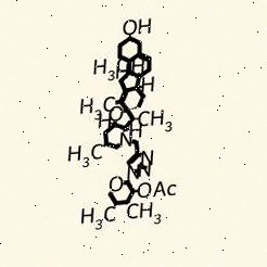 CC(=O)O[C@H]1C(C)[C@H](C)CO[C@H]1n1cc(CN2C[C@@H](C)C[C@H]3O[C@]4(CC[C@@H]5C(=C4C)C[C@H]4[C@H]5CC=C5C[C@@H](O)CC[C@@]54C)[C@H](C)[C@@H]32)nn1